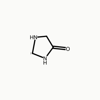 O=C1CN[C]N1